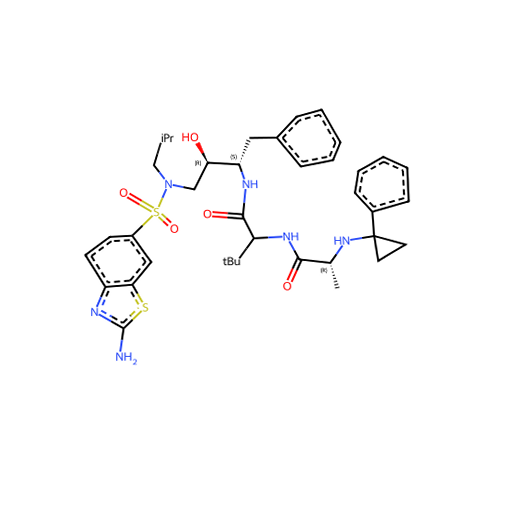 CC(C)CN(C[C@@H](O)[C@H](Cc1ccccc1)NC(=O)C(NC(=O)[C@@H](C)NC1(c2ccccc2)CC1)C(C)(C)C)S(=O)(=O)c1ccc2nc(N)sc2c1